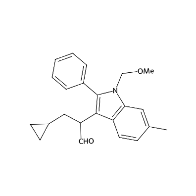 COCn1c(-c2ccccc2)c(C(C=O)CC2CC2)c2ccc(C)cc21